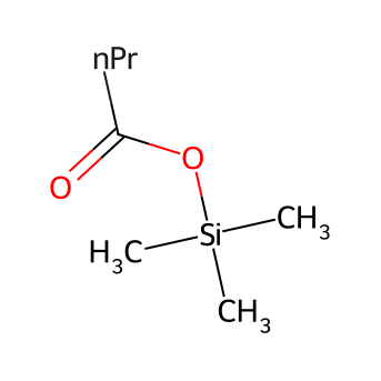 [CH2]CCC(=O)O[Si](C)(C)C